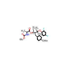 COc1ccc(C[C@@H]([C@H](C)OC(=O)[C@H](C)NC(=O)OC(C)(C)C)C(C)(C)Oc2ccc(F)cc2F)cc1